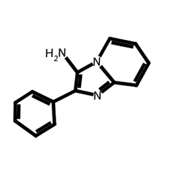 Nc1c(-c2ccccc2)nc2ccccn12